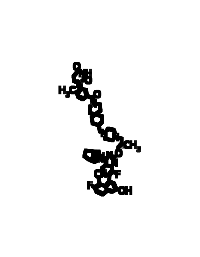 C#Cc1c(F)ccc2cc(O)cc(-c3ccc4c(N5CC6CCC(C5)N6)nc(OC[C@H](C)CN5CCN(CC6CCC7(CC6)CCN(C(=O)c6ccc(C)c(N8CCC(=O)NC8=O)c6)CC7)CC5)nc4c3F)c12